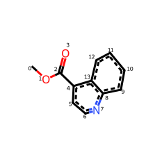 COC(=O)c1ccnc2ccccc12